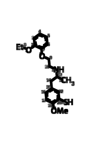 CCOc1ccccc1OCCNC(C)Cc1ccc(OC)c(S)c1